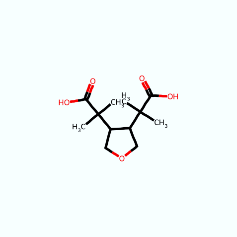 CC(C)(C(=O)O)C1COCC1C(C)(C)C(=O)O